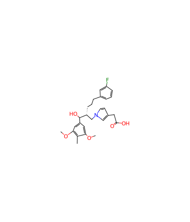 COc1cc(C(O)[C@H](CCCc2cccc(F)c2)Cn2ccc(CC(=O)O)c2)cc(OC)c1C